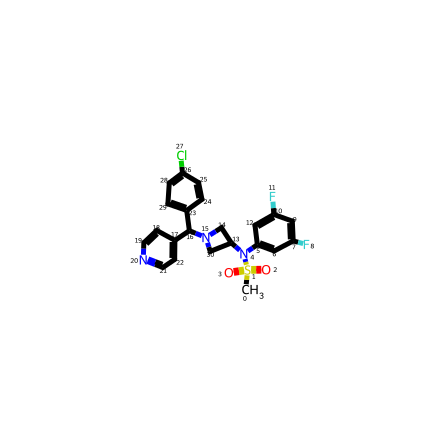 CS(=O)(=O)N(c1cc(F)cc(F)c1)C1CN(C(c2ccncc2)c2ccc(Cl)cc2)C1